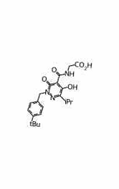 CC(C)c1nn(Cc2ccc(C(C)(C)C)cc2)c(=O)c(C(=O)NCC(=O)O)c1O